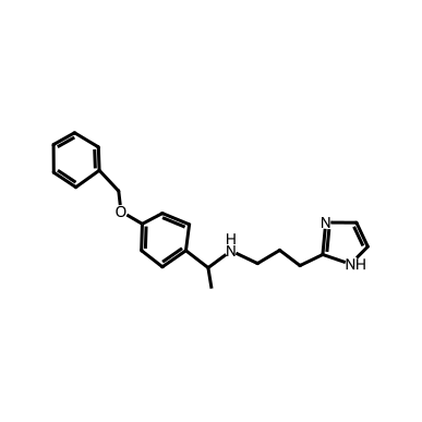 CC(NCCCc1ncc[nH]1)c1ccc(OCc2ccccc2)cc1